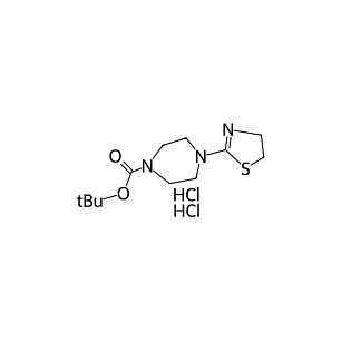 CC(C)(C)OC(=O)N1CCN(C2=NCCS2)CC1.Cl.Cl